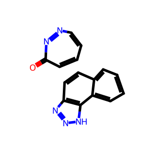 O=c1ccccnn1.c1ccc2c(c1)ccc1nn[nH]c12